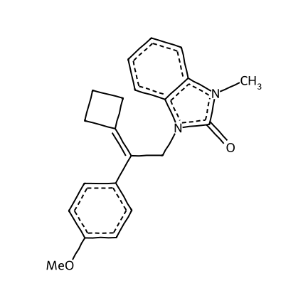 COc1ccc(C(Cn2c(=O)n(C)c3ccccc32)=C2CCC2)cc1